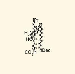 CC(C)CCCCCCCCCCCCCCC(=O)O.CCCCCCCCCCCCCCCCCCC1CC(=O)OC1=O.NCCO